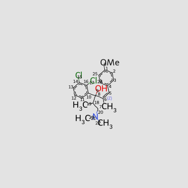 COc1ccc(/C=C(/C)C(O)(c2cccc(Cl)c2Cl)C(C)CN(C)C)cc1